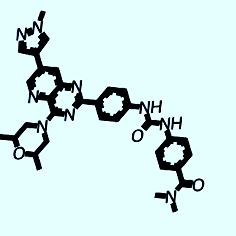 CC1CN(c2nc(-c3ccc(NC(=O)Nc4ccc(C(=O)N(C)C)cc4)cc3)nc3cc(-c4cnn(C)c4)cnc23)CC(C)O1